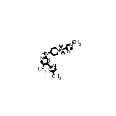 Cc1cnc(-c2nc(NC3CCN(S(=O)(=O)c4cn(C)cn4)CC3)ncc2C(F)(F)F)s1